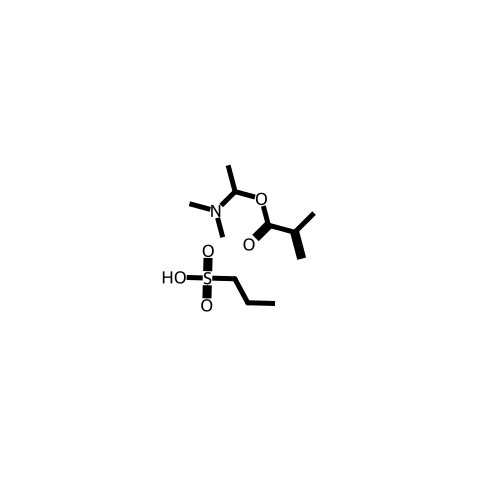 C=C(C)C(=O)OC(C)N(C)C.CCCS(=O)(=O)O